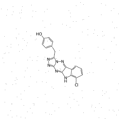 Oc1ccc(Cc2nnc3nc4[nH]c5c(Cl)cccc5c4nn23)cc1